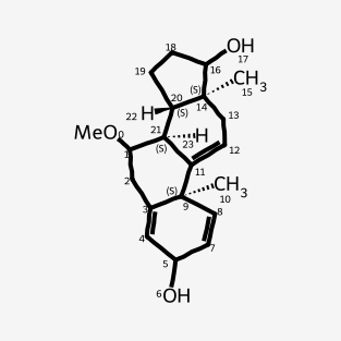 COC1CC2=CC(O)C=C[C@]2(C)C2=CC[C@]3(C)C(O)CC[C@H]3[C@@H]21